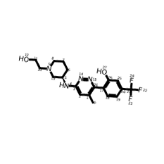 Cc1cc(N[C@@H]2CCCN(CCO)C2)nnc1-c1ccc(C(F)(F)F)cc1O